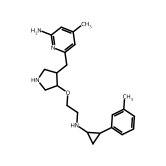 Cc1cccc(C2CC2NCCOC2CNCC2Cc2cc(C)cc(N)n2)c1